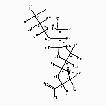 O=C(Cl)C(F)(OC(F)(F)C(F)(OC(F)(F)C(F)(OC(F)(F)C(F)(F)C(F)(F)F)C(F)(F)F)C(F)(F)F)C(F)(F)F